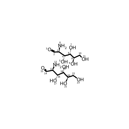 N[C@H](C=O)[C@@H](O)[C@H](O)[C@H](O)CO.N[C@H](C=O)[C@@H](O)[C@H](O)[C@H](O)CO